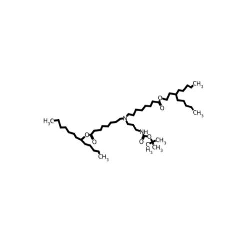 CCCCCCCC(CCCCC)OC(=O)CCCCCCCN(CCCCCCCC(=O)OCCC(CCCCC)CCCCC)CCCNC(=O)OC(C)(C)C